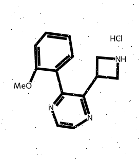 COc1ccccc1-c1nccnc1C1CNC1.Cl